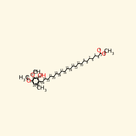 COC(=O)CCCCCCCCCCCCCCCCCCCCCc1c(C)cc(OC)c(OC)c1O